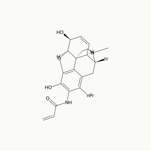 C=CC(=O)Nc1c(O)c2c3c(c1CCC)C[C@@H]1[C@@H]4C=C[C@H](O)[C@H](O2)[C@]34CCN1C